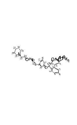 CO/C=C(\C(=O)OC)c1ccccc1COc1cccc(/C=N/OCCN2CCCCC2)c1